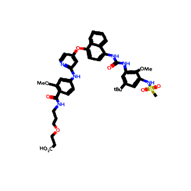 COc1cc(Nc2cc(Oc3ccc(NC(=O)Nc4cc(C(C)(C)C)cc(NS(C)(=O)=O)c4OC)c4ccccc34)ccn2)ccc1C(=O)NCCCOCCC(=O)O